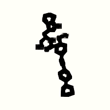 CC(C)Oc1ccc(C#Cc2ccc(-c3ccccc3)cc2)cc1C(=O)N[C@@H](CO)Cc1c[nH]c2ccccc12